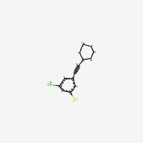 Sc1cc(Cl)cc(C#CC2CCCCC2)c1